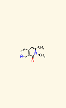 Cc1cc2ccncc2c(=O)n1C